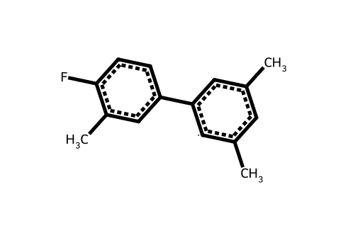 Cc1[c]c(-c2ccc(F)c(C)c2)cc(C)c1